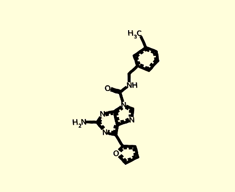 Cc1cccc(CNC(=O)n2cnc3c(-c4ccco4)nc(N)nc32)c1